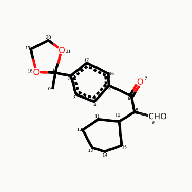 CC1(c2ccc(C(=O)C(C=O)C3CCCCC3)cc2)OCCO1